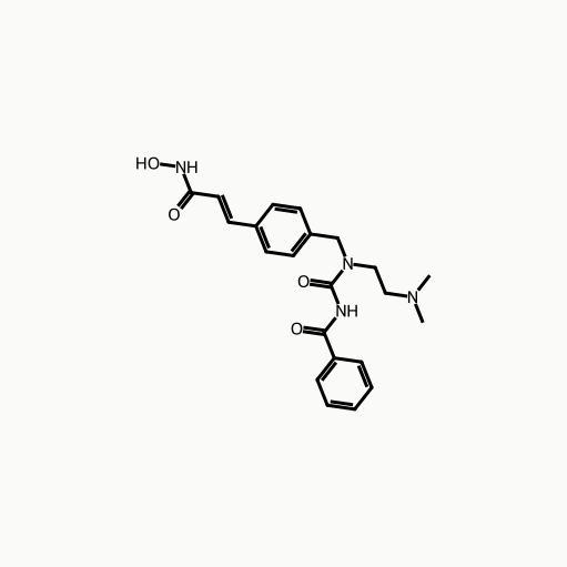 CN(C)CCN(Cc1ccc(C=CC(=O)NO)cc1)C(=O)NC(=O)c1ccccc1